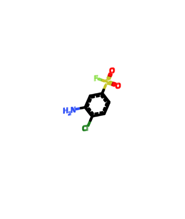 Nc1cc(S(=O)(=O)F)ccc1Cl